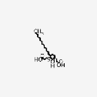 CCCCCCCCCCCCCC=C1CC[C@@H](CCC(=O)O)[C@@H](O)[C@@H]1SCCC(=O)O